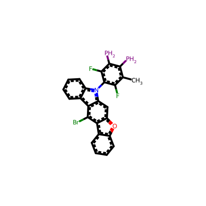 Cc1c(F)c(-n2c3ccccc3c3c(Br)c4c(cc32)oc2ccccc24)c(F)c(P)c1P